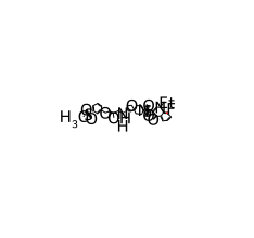 CCn1cc(S(=O)(=O)N2CCC3(CC2)C[C@@H](NCC(O)COc2cccc(S(C)(=O)=O)c2)CO3)c(=O)c2cccc(F)c21